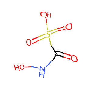 O=C(NO)S(=O)(=O)O